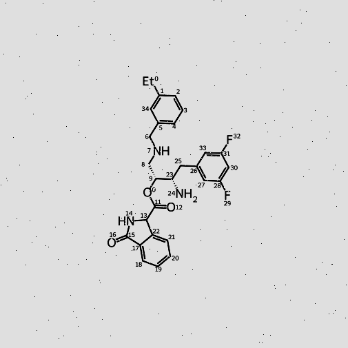 CCc1cccc(CNC[C@@H](OC(=O)C2NC(=O)c3ccccc32)[C@@H](N)Cc2cc(F)cc(F)c2)c1